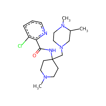 CC1CN(CC2(NC(=O)c3ncccc3Cl)CCN(C)CC2)CCN1C